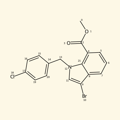 COC(=O)c1cccc2c(Br)cn(Cc3ccc(Cl)cc3)c12